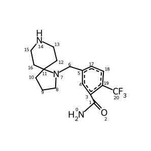 NC(=O)c1cc(CN2CCCC23CCNCC3)ccc1C(F)(F)F